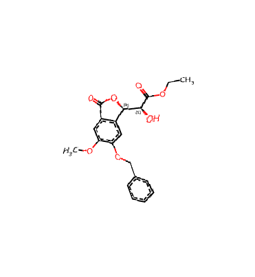 CCOC(=O)[C@@H](O)[C@@H]1OC(=O)c2cc(OC)c(OCc3ccccc3)cc21